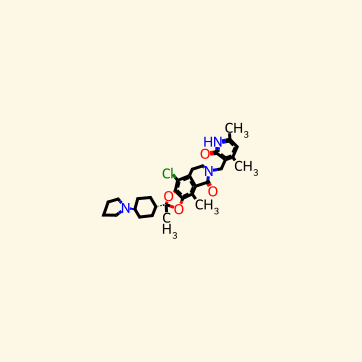 Cc1cc(C)c(CN2CCc3c(Cl)c4c(c(C)c3C2=O)OC(C)([C@H]2CC[C@H](N3CCCC3)CC2)O4)c(=O)[nH]1